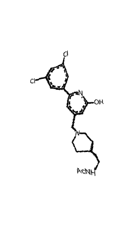 CC(=O)NCC1CCN(Cc2cc(O)nc(-c3cc(Cl)cc(Cl)c3)c2)CC1